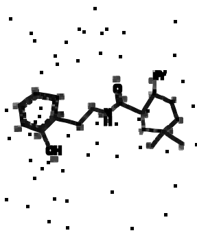 CC(C)C1CCC(C)(C)CC1C(=O)NCCc1ccccc1O